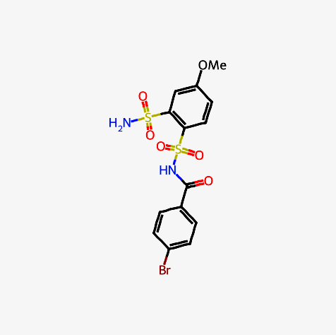 COc1ccc(S(=O)(=O)NC(=O)c2ccc(Br)cc2)c(S(N)(=O)=O)c1